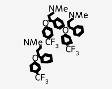 CNCCC(Oc1ccc(C(F)(F)F)cc1)c1ccccc1.CNCCC(Oc1ccc(C(F)(F)F)cc1)c1ccccc1.CNCCC(Oc1ccc(C(F)(F)F)cc1)c1ccccc1